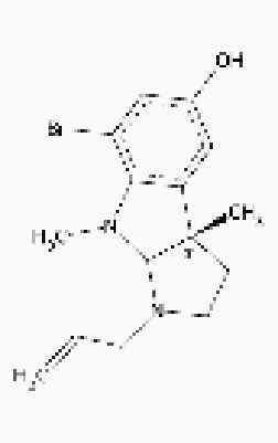 C=CCN1CC[C@@]2(C)c3cc(O)cc(Br)c3N(C)C12